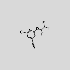 N#Cc1cc(Cl)nc(OC(F)C(F)F)c1